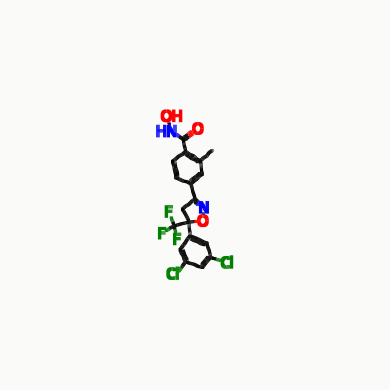 Cc1cc(C2=NOC(c3cc(Cl)cc(Cl)c3)(C(F)(F)F)C2)ccc1C(=O)NO